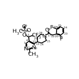 Cc1ncc(C(OS(C)(=O)=O)C(F)(F)F)c(C2CCN(C(=O)Cc3c(F)cccc3F)CC2)n1